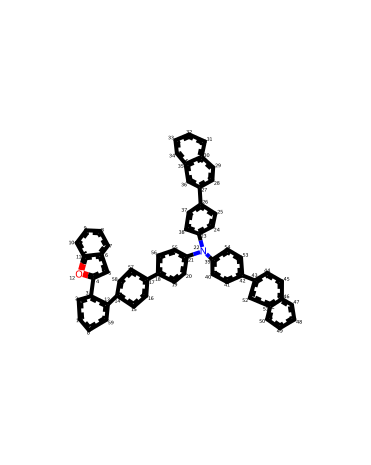 c1ccc(-c2cc3ccccc3o2)c(-c2ccc(-c3ccc(N(c4ccc(-c5ccc6ccccc6c5)cc4)c4ccc(-c5ccc6ccccc6c5)cc4)cc3)cc2)c1